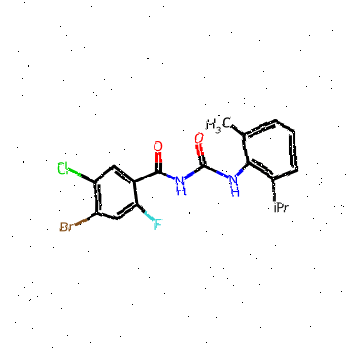 Cc1cccc(C(C)C)c1NC(=O)NC(=O)c1cc(Cl)c(Br)cc1F